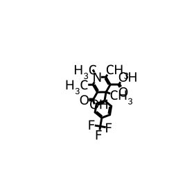 CC1=C(C(=O)O)C(C)(c2ccc(C(F)(F)F)cc2)C(C(=O)O)=C(C)N1C